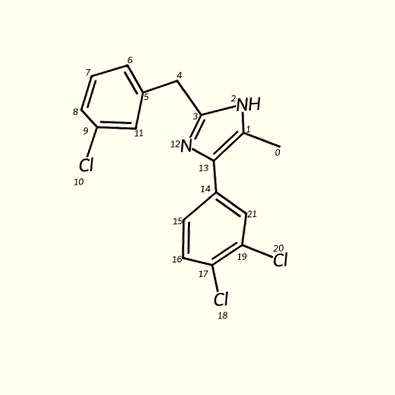 Cc1[nH]c(Cc2cccc(Cl)c2)nc1-c1ccc(Cl)c(Cl)c1